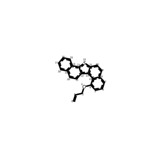 C=CCOc1cccc2ccc3sc4c5ccccc5ccc4c3c12